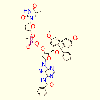 COc1ccc(C(OC[C@H]2O[C@@H](n3cnc4c(NC(=O)c5ccccc5)ncnc43)C[C@H]2OCO[PH](=O)C(C)O[C@@H]2[CH]C[C@H](n3cc(C)c(=O)[nH]c3=O)O2)(c2ccccc2)c2ccc(OC)cc2)cc1